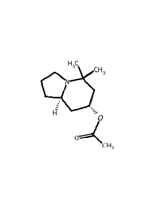 CC(=O)O[C@@H]1C[C@H]2CCCN2C(C)(C)C1